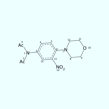 CC(=O)N(C(C)=O)c1ccc(N2CCOCC2)c([N+](=O)[O-])c1